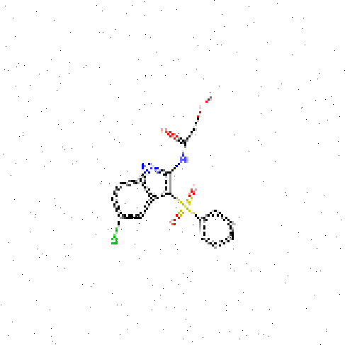 COCC(=O)Nc1[nH]c2ccc(Cl)cc2c1S(=O)(=O)c1ccccc1